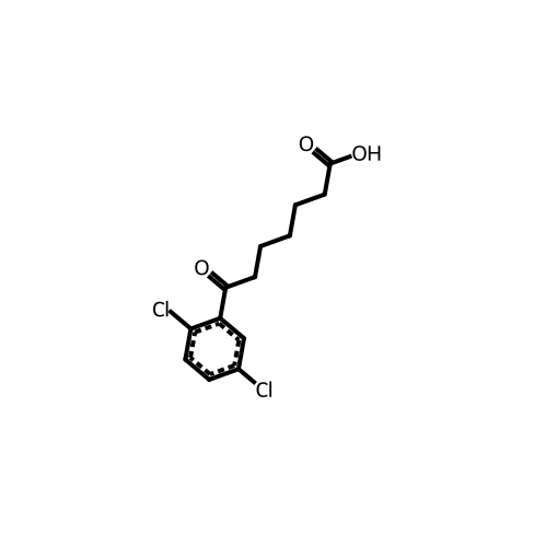 O=C(O)CCCCCC(=O)c1cc(Cl)ccc1Cl